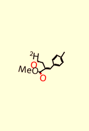 [2H]C(=O)C/C(=C\c1ccc(C)cc1)C(=O)OC